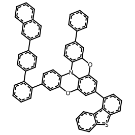 c1ccc(-c2ccc3c(c2)Oc2cc(-c4cccc5sc6ccccc6c45)cc4c2N3c2ccc(-c3ccccc3-c3ccc(-c5ccc6ccccc6c5)cc3)cc2O4)cc1